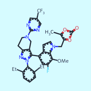 CCc1cccc(CC)c1-n1nc2c(c1-c1cc(F)c(OC)c3c1ccn3Cc1oc(=O)oc1C)CN(c1ncc(C(F)(F)F)cn1)CC2